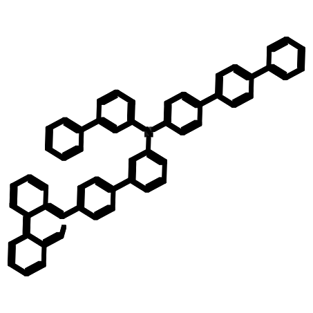 C/C=c1/cccc/c1=c1\cccc\c1=C/c1ccc(-c2cccc(N(c3ccc(-c4ccc(-c5ccccc5)cc4)cc3)c3cccc(-c4ccccc4)c3)c2)cc1